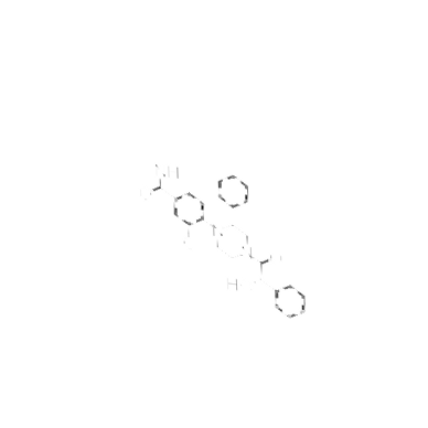 NC(=O)c1ccc(N2CCN(C(=O)[C@H](O)c3ccccc3)C[C@H]2c2ccccc2)c(Cl)c1